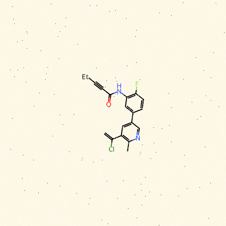 C=C(Cl)c1cc(-c2ccc(F)c(NC(=O)C#CCC)c2)cnc1C